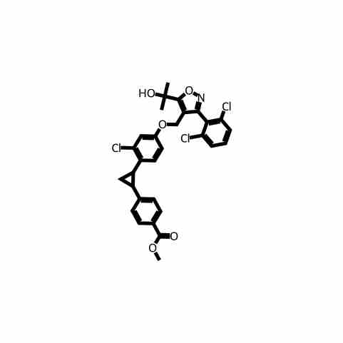 COC(=O)c1ccc(C2CC2c2ccc(OCc3c(-c4c(Cl)cccc4Cl)noc3C(C)(C)O)cc2Cl)cc1